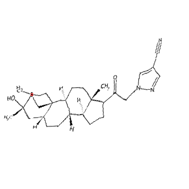 CSC[C@]12CC[C@@](C)(O)C[C@H]1CC[C@@H]1[C@@H]2CC[C@]2(C)C(C(=O)Cn3cc(C#N)cn3)CC[C@@H]12